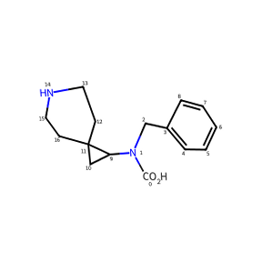 O=C(O)N(Cc1ccccc1)C1CC12CCNCC2